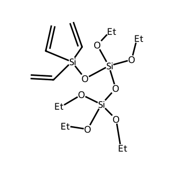 C=C[Si](C=C)(C=C)O[Si](OCC)(OCC)O[Si](OCC)(OCC)OCC